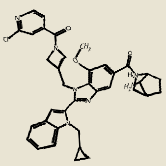 COc1cc(C(=O)N2CC3CCC2[C@@H]3N)cc2nc(-c3cc4ccccc4n3CC3CC3)n(CC3CN(C(=O)c4ccnc(Cl)c4)C3)c12